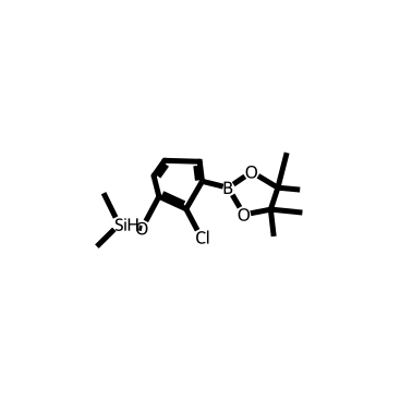 C[SiH](C)Oc1cccc(B2OC(C)(C)C(C)(C)O2)c1Cl